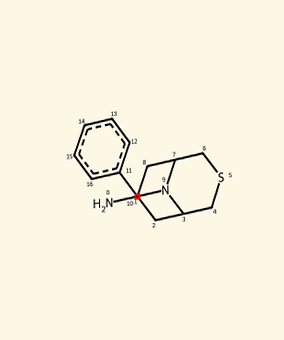 NC1CC2CSCC(C1)N2Cc1ccccc1